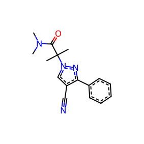 CN(C)C(=O)C(C)(C)n1cc(C#N)c(-c2ccccc2)n1